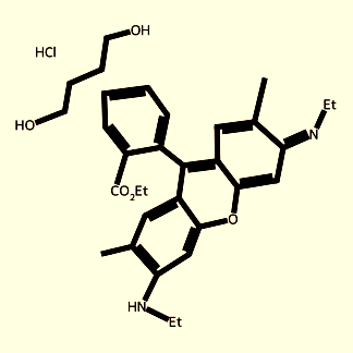 CC/N=c1/cc2oc3cc(NCC)c(C)cc3c(-c3ccccc3C(=O)OCC)c-2cc1C.Cl.OCCCCO